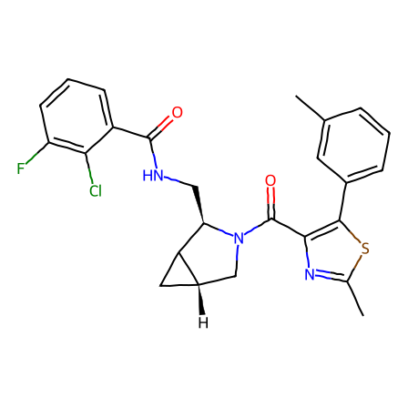 Cc1cccc(-c2sc(C)nc2C(=O)N2C[C@@H]3CC3[C@H]2CNC(=O)c2cccc(F)c2Cl)c1